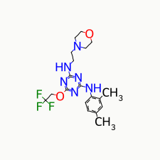 Cc1ccc(Nc2nc(NCCN3CCOCC3)nc(OCC(F)(F)F)n2)c(C)c1